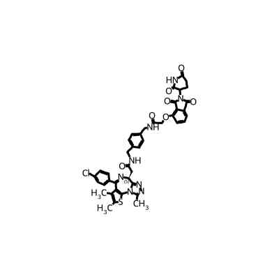 Cc1sc2c(c1C)C(c1ccc(Cl)cc1)=N[C@@H](CC(=O)NCc1ccc(CNC(=O)COc3cccc4c3C(=O)N(C3CCC(=O)NC3=O)C4=O)cc1)c1nnc(C)n1-2